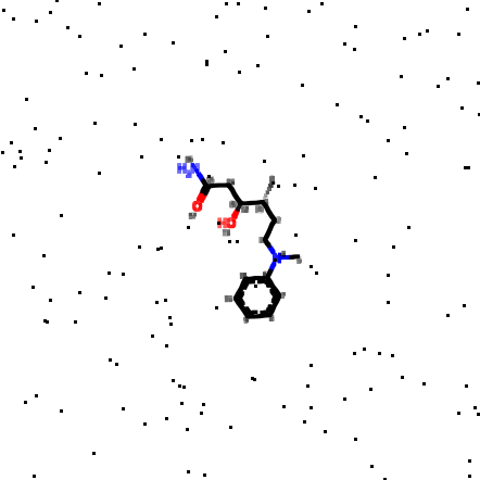 C[C@H](CCN(C)c1ccccc1)[C@@H](O)CC(N)=O